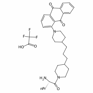 CCC[C@H](N)C(=O)N1CCC(CCCC2CCN(c3cccc4c3C(=O)c3ccccc3C4=O)CC2)CC1.O=C(O)C(F)(F)F